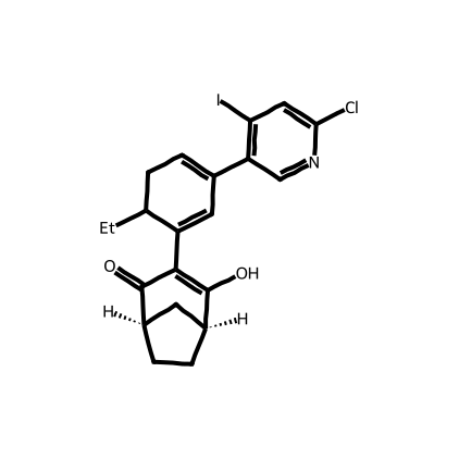 CCC1CC=C(c2cnc(Cl)cc2I)C=C1C1=C(O)[C@H]2CC[C@H](C2)C1=O